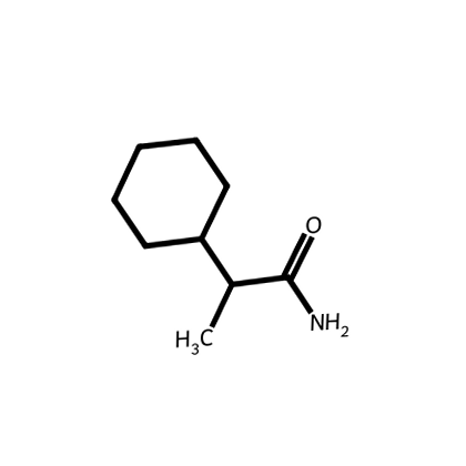 CC(C(N)=O)C1CCCCC1